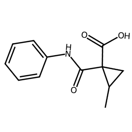 CC1CC1(C(=O)O)C(=O)Nc1ccccc1